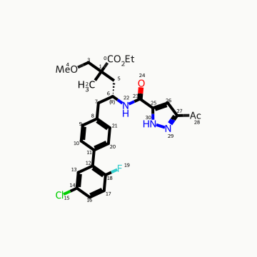 CCOC(=O)C(C)(COC)C[C@@H](Cc1ccc(-c2cc(Cl)ccc2F)cc1)NC(=O)c1cc(C(C)=O)n[nH]1